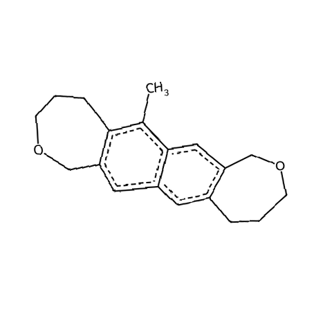 Cc1c2c(cc3cc4c(cc13)COCCC4)COCCC2